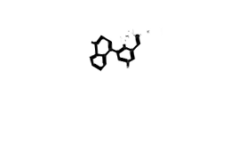 COc1cc2cc(C)cc(-c3ccc(C)c4ccccc34)c2nn1